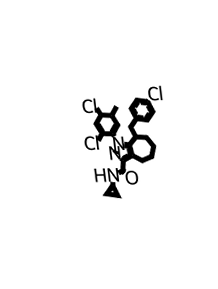 CC1C=C(n2nc(C(=O)NC3CC3)c3c2C(Cc2ccc(Cl)cc2)CCCC3)C(Cl)=CC1Cl